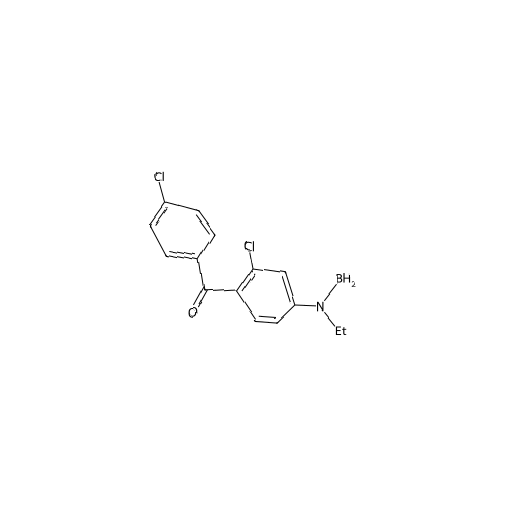 BN(CC)c1ccc(C(=O)c2ccc(Cl)cc2)c(Cl)c1